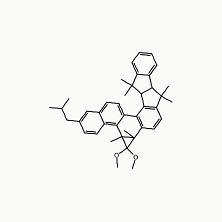 COC1(OC)C2(C)c3ccc4c(c3-c3ccc5cc(CC(C)C)ccc5c3C12C)C1C(c2ccccc2C1(C)C)C4(C)C